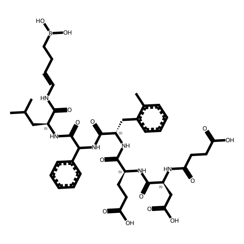 Cc1ccccc1C[C@H](NC(=O)[C@H](CCC(=O)O)NC(=O)[C@H](CC(=O)O)NC(=O)CCC(=O)O)C(=O)NC(C(=O)N[C@@H](CC(C)C)C(=O)NC=CCCB(O)O)c1ccccc1